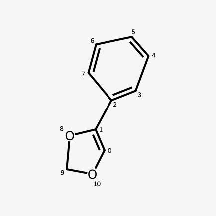 C1=C(c2ccccc2)OCO1